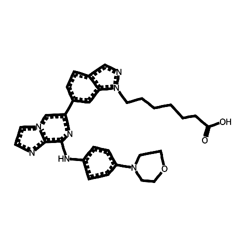 O=C(O)CCCCCCn1ncc2ccc(-c3cn4ccnc4c(Nc4ccc(N5CCOCC5)cc4)n3)cc21